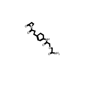 NC(=O)COCC(=O)NC1=CC=C(CCC(=O)N2CCC2=O)CC1